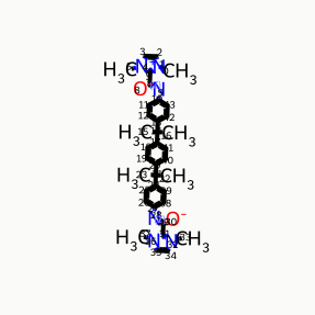 Cn1cc[n+](C)c1/C([O-])=N/c1ccc(C(C)(C)c2ccc(C(C)(C)c3ccc(/N=C(\[O-])c4n(C)cc[n+]4C)cc3)cc2)cc1